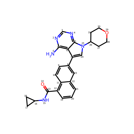 Nc1ncnc2c1c(-c1ccc3c(C(=O)NC4CC4)cccc3c1)cn2C1CCOCC1